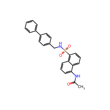 CC(=O)Nc1cccc2c(S(=O)(=O)NCc3ccc(-c4ccccc4)cc3)cccc12